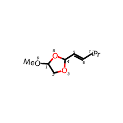 COC1COC(C=CC(C)C)O1